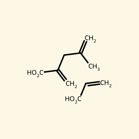 C=C(C)CC(=C)C(=O)O.C=CC(=O)O